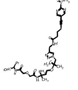 BC(C)(CCOC(C)(C)Cn1cc(CNC(=O)CCCC#Cc2cnc([S+](C)[O-])nc2)nn1)NC(=O)COCC(=O)NC(C=O)C(C)C